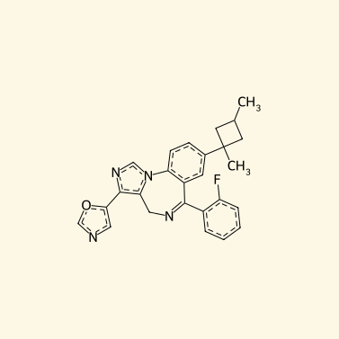 CC1CC(C)(c2ccc3c(c2)C(c2ccccc2F)=NCc2c(-c4cnco4)ncn2-3)C1